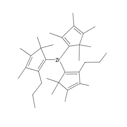 CCCC1=[C]([Zr]([C]2=C(C)C(C)=C(C)C2(C)C)[C]2=C(CCC)C(C)=C(C)C2(C)C)C(C)(C)C(C)=C1C